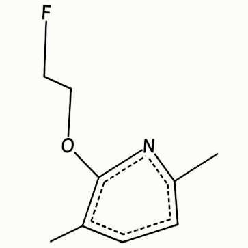 Cc1ccc(C)c(OCCF)n1